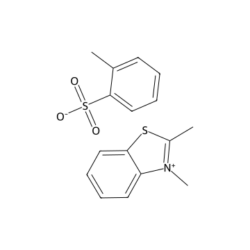 Cc1ccccc1S(=O)(=O)[O-].Cc1sc2ccccc2[n+]1C